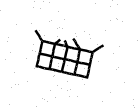 CC1C2CC3C4C5CC6C(C)C7(C)C65C45C23C1(C)C75C